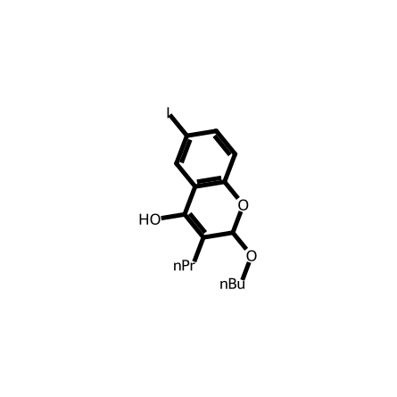 CCCCOC1Oc2ccc(I)cc2C(O)=C1CCC